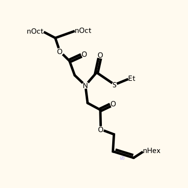 CCCCCC/C=C\COC(=O)CN(CC(=O)OC(CCCCCCCC)CCCCCCCC)C(=O)SCC